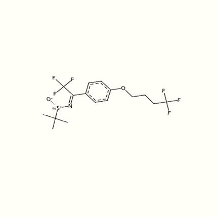 CC(C)(C)[S@+]([O-])N=C(c1ccc(OCCCC(F)(F)F)cc1)C(F)(F)F